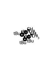 CN(C)c1ccc(-c2c(Pc3ccc(C(C)(C)C)c(C(C)(C)C)c3-c3ccc(N(C)C)cc3)ccc(C(C)(C)C)c2C(C)(C)C)cc1